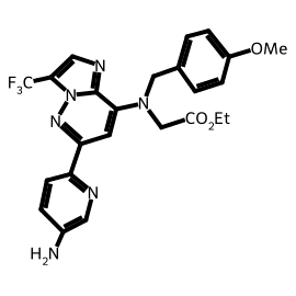 CCOC(=O)CN(Cc1ccc(OC)cc1)c1cc(-c2ccc(N)cn2)nn2c(C(F)(F)F)cnc12